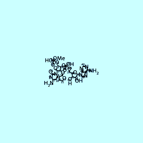 COP(=O)(O)O[C@H]1O[C@@H](n2ccc(N)nc2=O)[C@H](OC2CCCO2)[C@H]1OP(=O)(O)OC[C@H]1O[C@@H](n2cnc3c(N)ncnc32)[C@H](O)[C@@H]1O